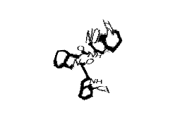 N#CC(C[C@@H]1CCCNC1=O)NC(=O)[C@@H]1C2CCCCC2CN1C(=O)c1cc2cccc(Cl)c2[nH]1